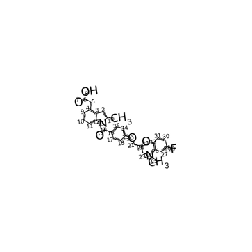 Cc1cc2c(CC(=O)O)cccc2n1C(=O)c1ccc(OC[C@@H]2CN(C)c3cc(F)ccc3O2)cc1